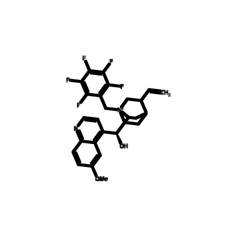 C=CC1C[N+]2(Cc3c(F)c(F)c(F)c(F)c3F)CCC1CC2[C@@H](O)c1ccnc2ccc(OC)cc12